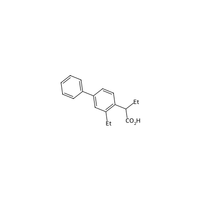 CCc1cc(-c2ccccc2)ccc1C(CC)C(=O)O